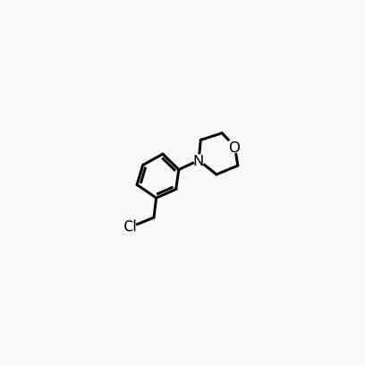 ClCc1cccc(N2CCOCC2)c1